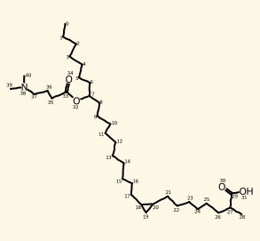 CCCCCCCC(CCCCCCCCCCC1CC1CCCCCCC(C)C(=O)O)OC(=O)CCCN(C)C